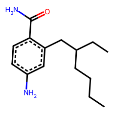 CCCCC(CC)Cc1cc(N)ccc1C(N)=O